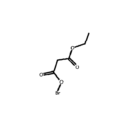 CCOC(=O)CC(=O)OBr